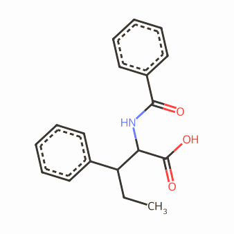 CCC(c1ccccc1)C(NC(=O)c1ccccc1)C(=O)O